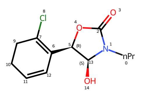 CCCN1C(=O)O[C@H](C2=C(Cl)CCC=C2)[C@@H]1O